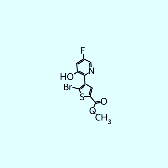 COC(=O)c1cc(-c2ncc(F)cc2O)c(Br)s1